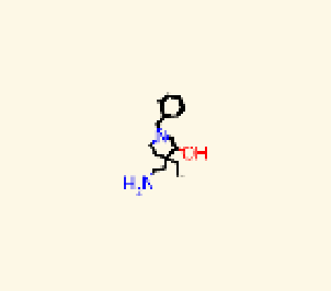 [CH2]CC1(CCN)CCN(Cc2ccccc2)CC1O